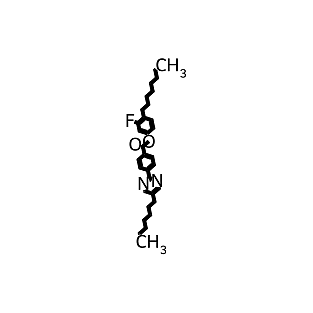 CCCCCCCCc1ccc(OC(=O)c2ccc(-c3ncc(CCCCCCC)cn3)cc2)cc1F